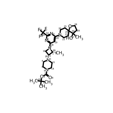 C[C@@H]1[C@H](N2CCN(C(=O)OC(C)(C)C)CC2)CN1c1cc(N2CCC3(CC2)OCCC3(C)O)nc(C(F)(F)F)n1